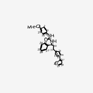 COc1ccc(NC(=O)NC(CCc2ccn(-c3ccco3)n2)c2ccccc2)cc1